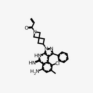 C=CC(=O)N1CC2(CC(n3nc(-c4ccccc4)c4c5c(Cl)c(C)cc(N)c5c(=N)[nH]c43)C2)C1